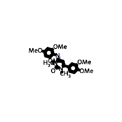 COc1cc(OC)c(/N=c2/cc(-c3ccc(OC)c(OC)c3)n(C)c(=O)n2C)c(OC)c1